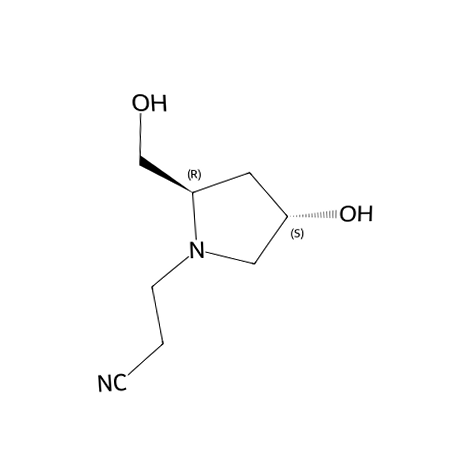 N#CCCN1C[C@@H](O)C[C@@H]1CO